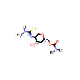 CCN(CC)C(=O)OC[C@@H]1C[C@H](O)C(/N=C(\S)N(C)CC)CO1